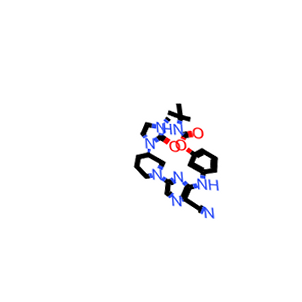 CN1CCN([C@@H]2CCCN(c3cnc(C#N)c(Nc4cccc(OC(=O)NC(C)(C)C)c4)n3)C2)C1=O